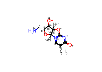 Cc1cn2c(nc1=O)O[C@H]1[C@H](O)[C@@H](CN)O[C@H]12